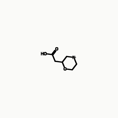 O=C(O)CC1C[N]CCO1